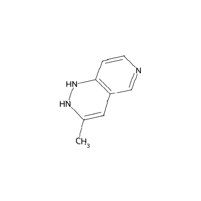 CC1=Cc2cnccc2NN1